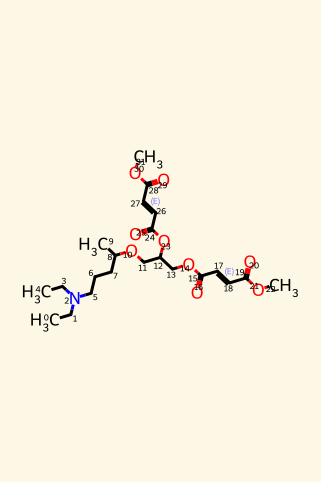 CCN(CC)CCCC(C)OCC(COC(=O)/C=C/C(=O)OC)OC(=O)/C=C/C(=O)OC